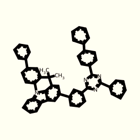 CC1(C)c2cc(-c3ccccc3)ccc2-n2c3ccccc3c3cc(-c4cccc(-c5nc(-c6ccccc6)nc(-c6ccc(-c7ccccc7)cc6)n5)c4)cc1c32